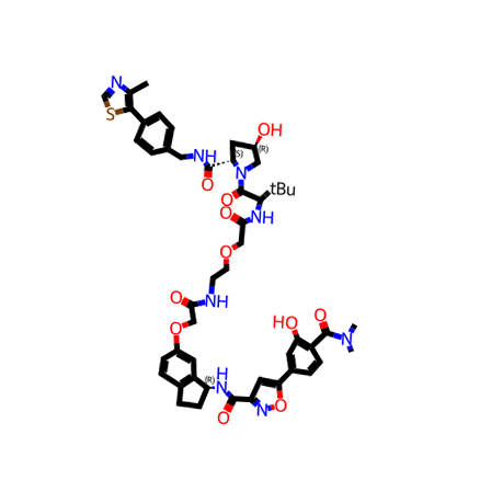 Cc1ncsc1-c1ccc(CNC(=O)[C@@H]2C[C@@H](O)CN2C(=O)C(NC(=O)COCCNC(=O)COc2ccc3c(c2)[C@H](NC(=O)c2cc(-c4ccc(C(=O)N(C)C)c(O)c4)on2)CC3)C(C)(C)C)cc1